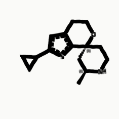 C[C@H]1C[C@@]2(CCN1)OCCc1cc(C3CC3)sc12